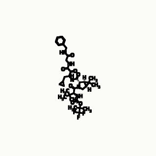 CC(C)(C)[C@H](NC(=O)OC(C)(C)C(F)(F)F)C(=O)N1C[C@H]2[C@@H]([C@H]1C(=O)NC(CC1CC1)C(=O)C(=O)NCC(=O)NCc1ccccc1)C2(C)C